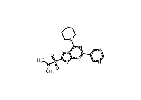 CN(C)S(=O)(=O)c1nc2nc(-c3cncnc3)nc(N3CCOCC3)c2s1